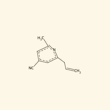 C=CCc1cc(C#N)cc(C)n1